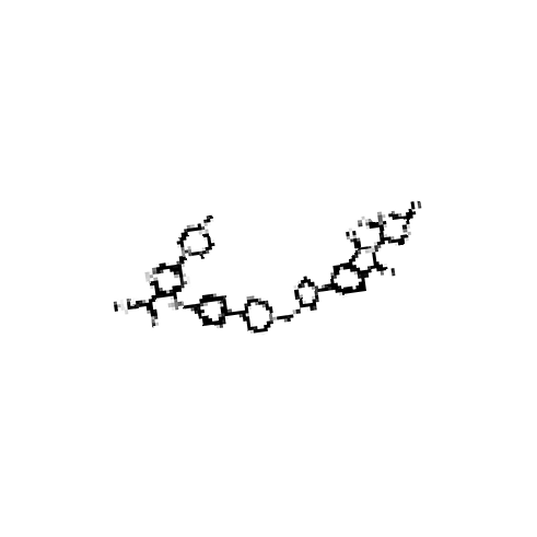 CN1CCN(c2cnc(C(N)=O)c(Nc3ccc(C4CCN(C[C@H]5CCN(c6ccc7c(c6)C(=O)N(C6CCC(=O)NC6=O)C7=O)C5)CC4)cc3)n2)CC1